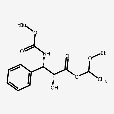 CCOC(C)OC(=O)[C@H](O)[C@@H](NC(=O)OC(C)(C)C)c1ccccc1